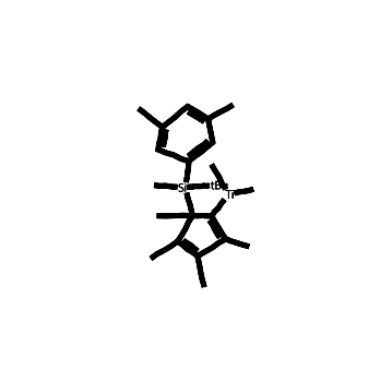 CC1=C(C)C(C)([Si](C)(c2cc(C)cc(C)c2)C(C)(C)C)[C]([Ti]([CH3])[CH3])=C1C